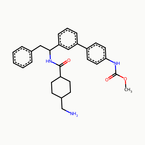 COC(=O)Nc1ccc(-c2cccc(C(Cc3ccccc3)NC(=O)C3CCC(CN)CC3)c2)cc1